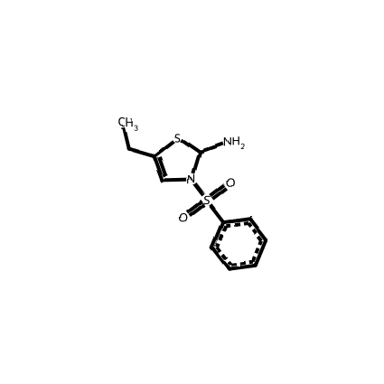 CCC1=CN(S(=O)(=O)c2ccccc2)C(N)S1